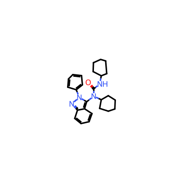 O=C(NC1CCCCC1)N(c1c2ccccc2nn1-c1ccccc1)C1CCCCC1